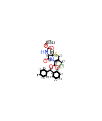 CC(C)(C)OC(=O)N[C@@H]1C(=O)N2C(C(=O)OC(c3ccccc3)c3ccccc3)=C(CCl)CS[C@@H]12